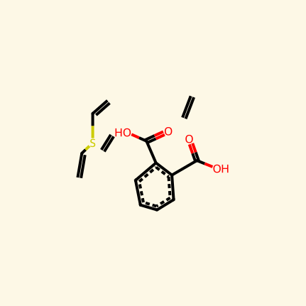 C=C.C=C.C=CSC=C.O=C(O)c1ccccc1C(=O)O